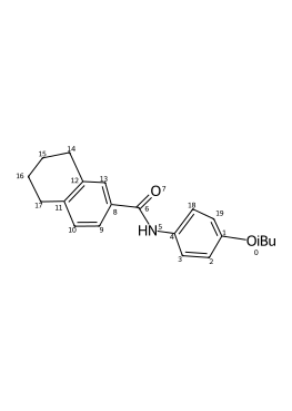 CC(C)COc1ccc(NC(=O)c2ccc3c(c2)CCCC3)cc1